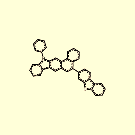 c1ccc(-n2c3ccccc3c3cc4cc(-c5ccc6c(c5)oc5ccccc56)c5ccccc5c4cc32)cc1